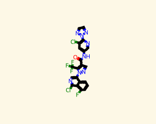 O=C(Nc1cnc(-n2nccn2)c(Cl)c1)c1cnn(-c2cnc(Cl)c3c(F)cccc23)c1C(F)(F)F